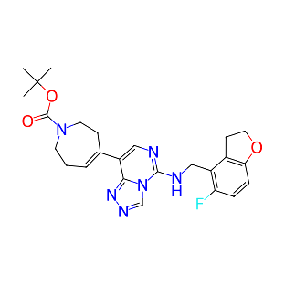 CC(C)(C)OC(=O)N1CCC=C(c2cnc(NCc3c(F)ccc4c3CCO4)n3cnnc23)CC1